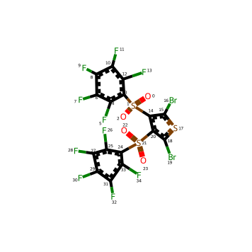 O=S(=O)(c1c(F)c(F)c(F)c(F)c1F)c1c(Br)sc(Br)c1S(=O)(=O)c1c(F)c(F)c(F)c(F)c1F